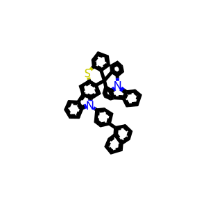 c1ccc2c(c1)Sc1cc3c4ccccc4n(-c4ccc(-c5cccc6ccccc56)cc4)c3cc1C21c2ccccc2-n2c3ccccc3c3cccc1c32